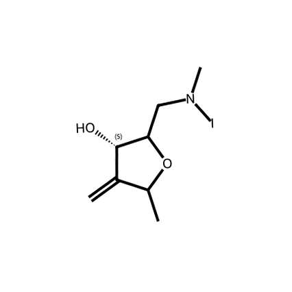 C=C1C(C)OC(CN(C)I)[C@H]1O